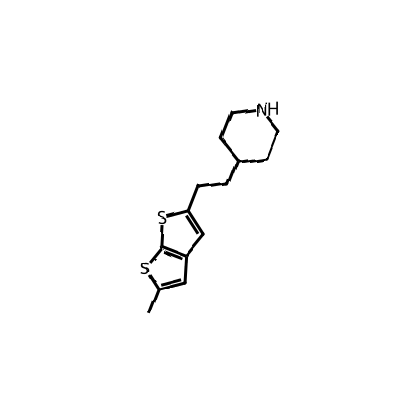 Cc1cc2cc(CCC3CCNCC3)sc2s1